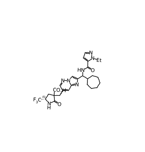 CCn1nccc1C(=O)NC(c1cn2ncc(CC3(C(=O)O)C[C@@H](C(F)(F)F)NC3=O)cc2n1)C1CCCCCC1